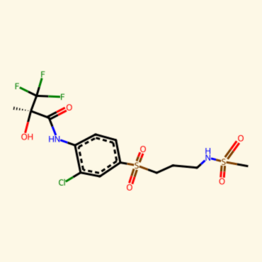 C[C@@](O)(C(=O)Nc1ccc(S(=O)(=O)CCCNS(C)(=O)=O)cc1Cl)C(F)(F)F